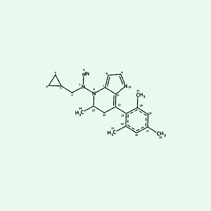 CCCN(CC1CC1)N1C2=CC=NC2=C(c2c(C)cc(C)cc2C)CC1C